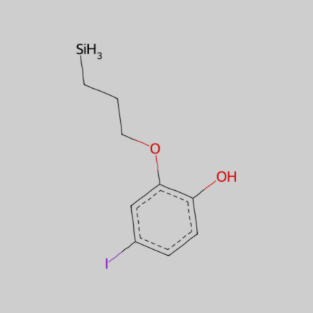 Oc1ccc(I)cc1OCCC[SiH3]